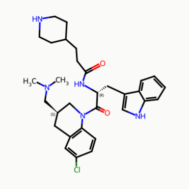 CN(C)C[C@@H]1Cc2cc(Cl)ccc2N(C(=O)[C@@H](Cc2c[nH]c3ccccc23)NC(=O)CCC2CCNCC2)C1